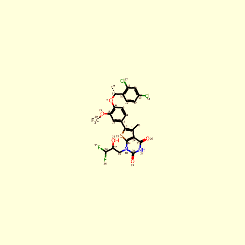 Cc1c(-c2ccc(O[C@H](C)c3ccc(Cl)cc3Cl)c(OC(F)(F)F)c2)sc2c1c(=O)[nH]c(=O)n2CC(O)C(F)F